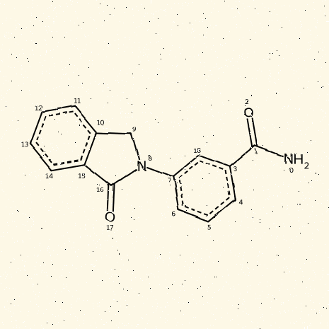 NC(=O)c1cccc(N2Cc3ccccc3C2=O)c1